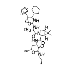 C#CCCC(NC(=O)[C@@H]1[C@@H]2[C@H](CN1C(=O)[C@@H](NC(=O)N[C@H](C(=O)c1nccs1)C1CCCCC1)C(C)(C)C)C2(C)C)C(=O)C(=O)NCC=C